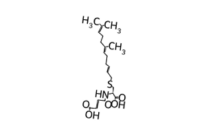 CC(C)=CCC/C(C)=C/CC/C=C/CSC[C@H](NC(=O)/C=C/C(=O)O)C(=O)O